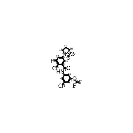 O=C(Nc1cc(Cl)cc(OC(F)F)c1)c1cc(N2CCCS2(=O)=O)cc(F)c1Cl